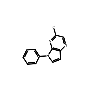 Clc1cnc2ccn(-c3ccccc3)c2n1